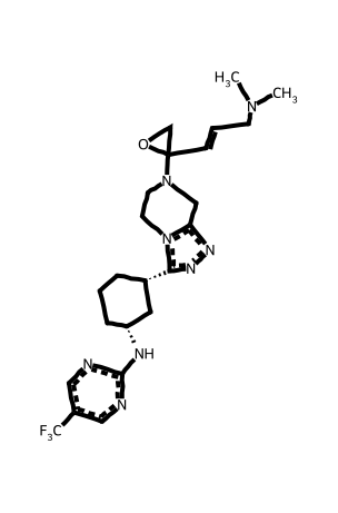 CN(C)C/C=C/C1(N2CCn3c(nnc3[C@H]3CCC[C@@H](Nc4ncc(C(F)(F)F)cn4)C3)C2)CO1